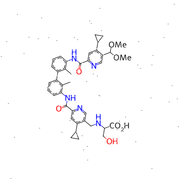 COC(OC)c1cnc(C(=O)Nc2cccc(-c3cccc(NC(=O)c4cc(C5CC5)c(CNC(CO)C(=O)O)cn4)c3C)c2C)cc1C1CC1